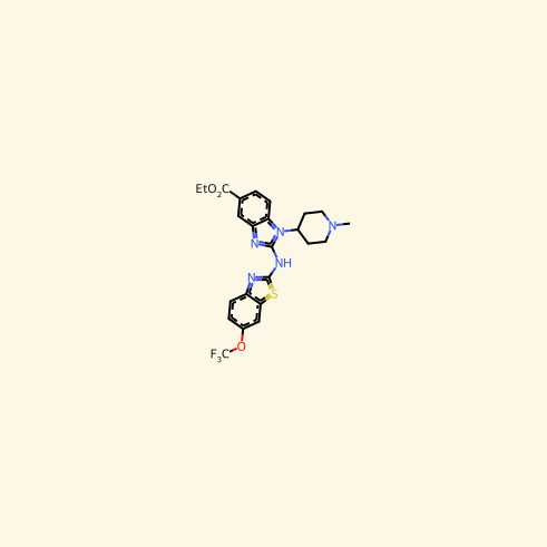 CCOC(=O)c1ccc2c(c1)nc(Nc1nc3ccc(OC(F)(F)F)cc3s1)n2C1CCN(C)CC1